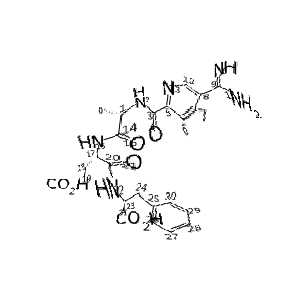 C[C@H](NC(=O)c1ccc(C(=N)N)cn1)C(=O)N[C@@H](CC(=O)O)C(=O)N[C@@H](Cc1ccccc1)C(=O)O